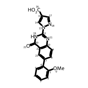 COc1ccccc1-c1ccc2nc(-n3cc(C(=O)O)cn3)[nH]c(=O)c2c1